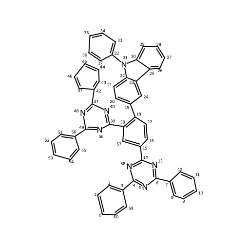 c1ccc(-c2nc(-c3ccccc3)nc(-c3ccc(-c4ccc5c(c4)c4ccccc4n5-c4ccccc4)c(-c4nc(-c5ccccc5)nc(-c5ccccc5)n4)c3)n2)cc1